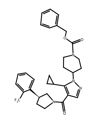 O=C(OCc1ccccc1)N1CCC(n2ncc(C(=O)N3CC[C@@H](c4ccccc4C(F)(F)F)C3)c2C2CC2)CC1